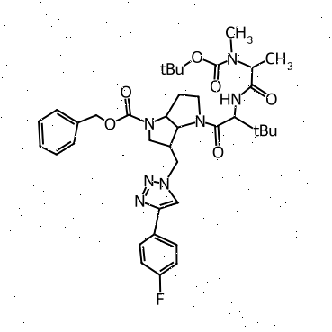 CC(C(=O)NC(C(=O)N1CCC2C1C(Cn1cc(-c3ccc(F)cc3)nn1)CN2C(=O)OCc1ccccc1)C(C)(C)C)N(C)C(=O)OC(C)(C)C